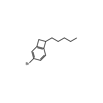 CCCCCC1Cc2cc(Br)ccc21